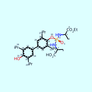 CCOC(=O)C(C)NP(=O)(NC(C)C(=O)O)Oc1c(C(C)C)cc(-c2cc(C(C)C)c(O)c(C(C)C)c2)cc1C(C)C